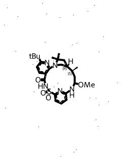 COC1C[C@H](C)[C@@H]2CN(c3nc(C(C)(C)C)ccc3C(=O)NS(=O)(=O)c3cccc(n3)N1)C(C)(C)C2